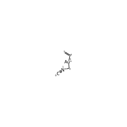 [C-]#[N+][CH2][Au+][CH]=C